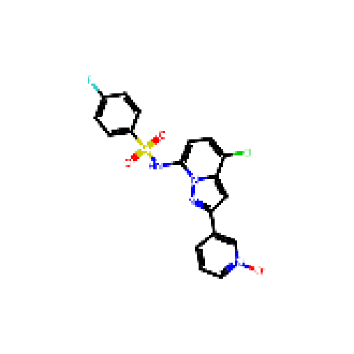 O=S(=O)(Nc1ccc(Cl)c2cc(-c3ccc[n+]([O-])c3)nn12)c1ccc(F)cc1